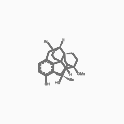 CO[C@]12CC[C@@]3(CC1[C@](C)(O)C(C)(C)C)[C@H]1Cc4ccc(O)c5c4[C@@]3(CCN1C(C)=O)[C@H]2O5